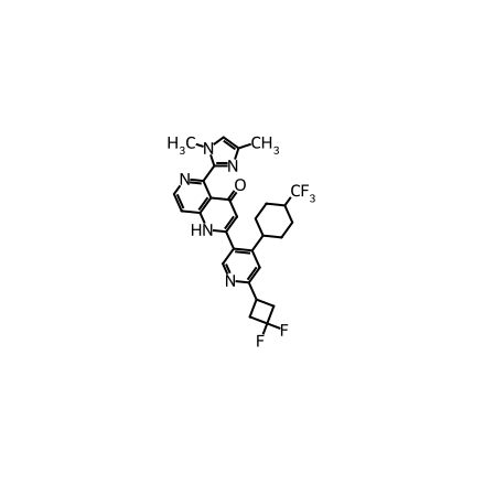 Cc1cn(C)c(-c2nccc3[nH]c(-c4cnc(C5CC(F)(F)C5)cc4C4CCC(C(F)(F)F)CC4)cc(=O)c23)n1